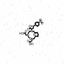 O=C(O)CN1CCN(CC(=O)O)Cc2cccc(n2)CN(C(CCc2ccc([N+](=O)[O-])cc2)C(=O)O)CC1